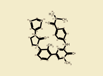 Cc1c(-c2cn(C)c(=O)c(Nc3ccc(C(=O)N(C)C)cc3)n2)cccc1N1CCN(c2cncnc2)C1=O